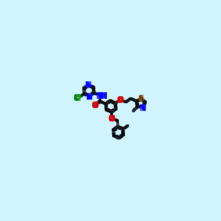 Cc1ccccc1COc1cc(OCCc2scnc2C)cc(C(=O)Nc2cncc(Cl)n2)c1